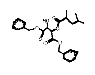 CC(C)CC(C)C(=O)OC(C(=O)OCc1ccccc1)C(O)C(=O)OCc1ccccc1